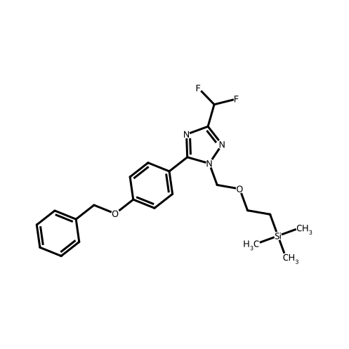 C[Si](C)(C)CCOCn1nc(C(F)F)nc1-c1ccc(OCc2ccccc2)cc1